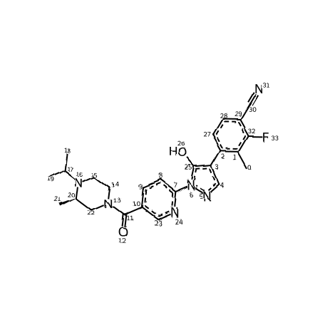 Cc1c(-c2cnn(-c3ccc(C(=O)N4CCN(C(C)C)[C@H](C)C4)cn3)c2O)ccc(C#N)c1F